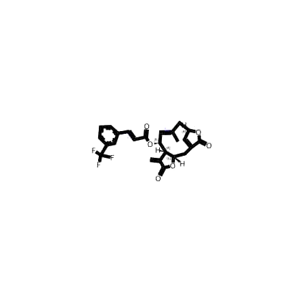 C=C1C(=O)O[C@H]2CC3=C[C@@H](C/C(C)=C/[C@@H](OC(=O)/C=C/c4cccc(C(F)(F)F)c4)[C@H]12)OC3=O